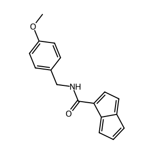 COc1ccc(CNC(=O)C2=CC=C3C=CC=C32)cc1